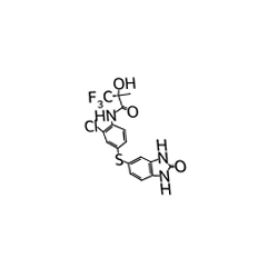 C[C@@](O)(C(=O)Nc1ccc(Sc2ccc3[nH]c(=O)[nH]c3c2)cc1Cl)C(F)(F)F